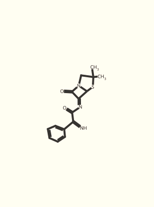 CC1(C)CN2C(=O)/C(=N\C(=O)C(=N)c3ccccc3)C2S1